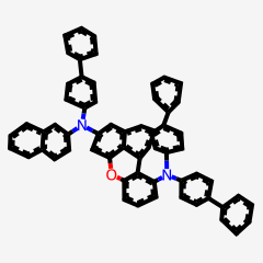 c1ccc(-c2ccc(N(c3ccc4ccccc4c3)c3cc4c5c(cccc5c3)-c3c(cccc3N(c3ccc(-c5ccccc5)cc3)c3ccc(-c5ccccc5)cc3)O4)cc2)cc1